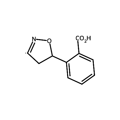 O=C(O)c1ccccc1C1C[C]=NO1